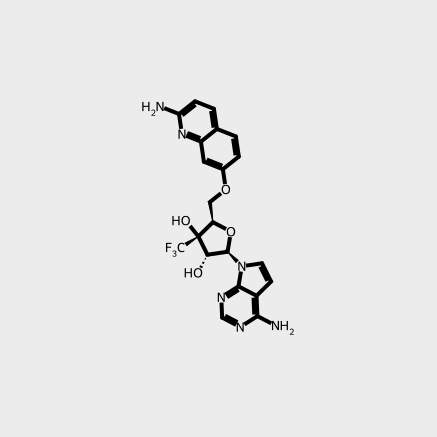 Nc1ccc2ccc(OC[C@H]3O[C@@H](n4ccc5c(N)ncnc54)[C@H](O)[C@@]3(O)C(F)(F)F)cc2n1